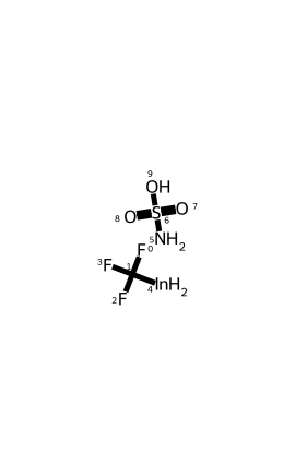 F[C](F)(F)[InH2].NS(=O)(=O)O